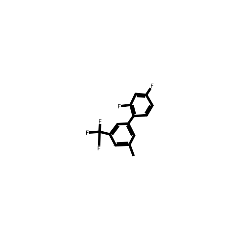 Cc1[c]c(C(F)(F)F)cc(-c2ccc(F)cc2F)c1